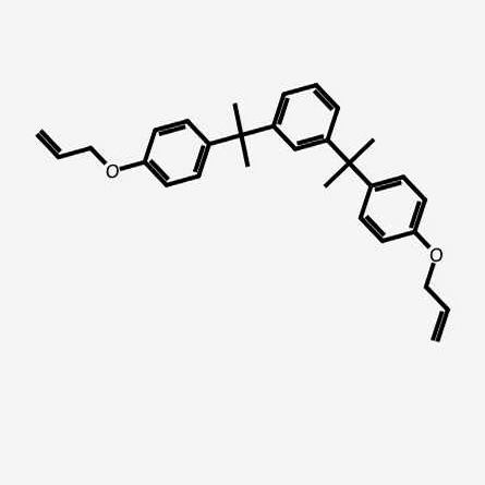 C=CCOc1ccc(C(C)(C)c2cccc(C(C)(C)c3ccc(OCC=C)cc3)c2)cc1